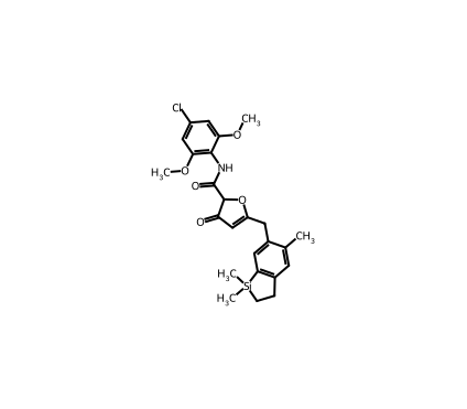 COc1cc(Cl)cc(OC)c1NC(=O)C1OC(Cc2cc3c(cc2C)CC[Si]3(C)C)=CC1=O